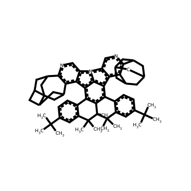 CC(C)(C)c1ccc2c(c1)C(C)(C)C1(C)c3c-2c2c4c5c(ncc4n4c6cnc7c(c6c(c3-c3ccc(C(C)(C)C)cc3C1(C)C)c24)C1CC2CC3CC7CC32C1)C1CC2CC(C1)CC5C2